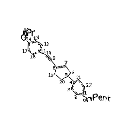 CCCCCc1ccc(C2CC=C(C#Cc3ccc(OCCC)cc3)CC2)cc1